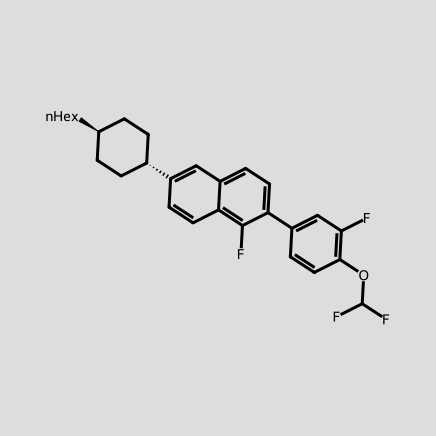 CCCCCC[C@H]1CC[C@H](c2ccc3c(F)c(-c4ccc(OC(F)F)c(F)c4)ccc3c2)CC1